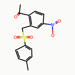 CC(=O)c1ccc([N+](=O)[O-])cc1CS(=O)(=O)c1ccc(C)cc1